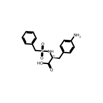 Nc1ccc(C[C@H](NS(=O)(=O)Cc2ccccc2)C(=O)O)cc1